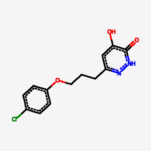 O=c1[nH]nc(CCCOc2ccc(Cl)cc2)cc1O